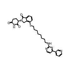 O=C1CCC(N2Cc3c(SCCCCCCCCNc4nccc(-c5cccnc5)n4)cccc3C2=O)C(=O)N1